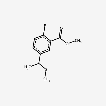 COC(=O)c1cc(C(C)SC)ccc1F